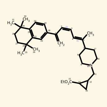 C=C(/C=C\C=C(/C)C1CCN(CC2CC2C(=O)OCC)CC1)c1ccc2c(c1)C(C)(C)CCC2(C)C